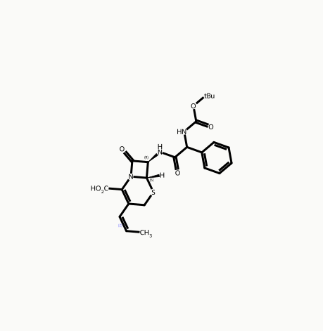 C/C=C\C1=C(C(=O)O)N2C(=O)[C@@H](NC(=O)C(NC(=O)OC(C)(C)C)c3ccccc3)[C@@H]2SC1